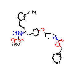 CC(C)(C)OC(=O)N[C@H](C=Cc1cccc(C#N)c1)Cc1ccc(OC2CCN(C(=O)OCc3ccccc3)CC2)cc1